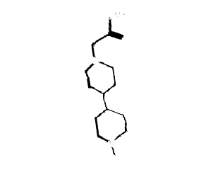 COC(=O)CN1CCC(C2CCN(C)CC2)CC1